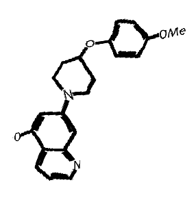 COc1ccc(OC2CCN(c3cc([O])c4cccnc4c3)CC2)cc1